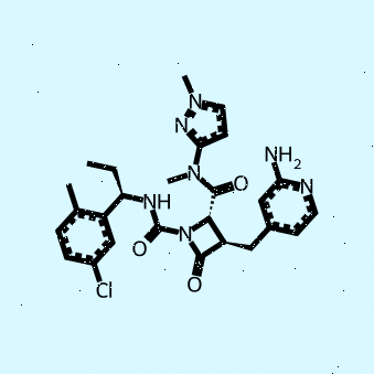 CC[C@@H](NC(=O)N1C(=O)[C@H](Cc2ccnc(N)c2)[C@H]1C(=O)N(C)c1ccn(C)n1)c1cc(Cl)ccc1C